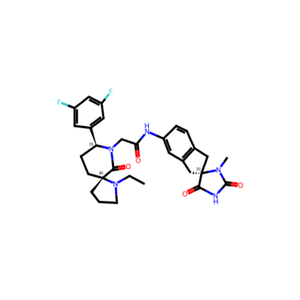 CCN1CCC[C@]12CC[C@@H](c1cc(F)cc(F)c1)N(CC(=O)Nc1ccc3c(c1)C[C@@]1(C3)C(=O)NC(=O)N1C)C2=O